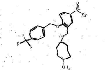 CN1CCC(NCc2cc([N+](=O)[O-])ccc2OCc2ccc(C(F)(F)F)cc2)CC1